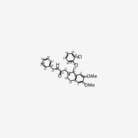 COc1cc2c(cc1OC)C(C)N(CC(=O)NCc1cccnc1)CC2.Clc1ccccc1Cl